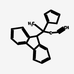 C#CCC(C)(C1=CC=CC1)C1c2ccccc2-c2ccccc21